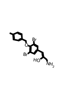 Cc1ccc(COc2c(Br)cc(C=C(O)CN)cc2Br)cc1